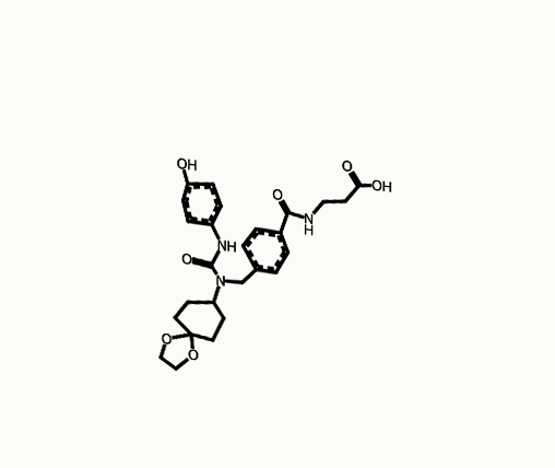 O=C(O)CCNC(=O)c1ccc(CN(C(=O)Nc2ccc(O)cc2)C2CCC3(CC2)OCCO3)cc1